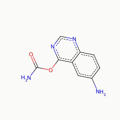 NC(=O)Oc1ncnc2ccc(N)cc12